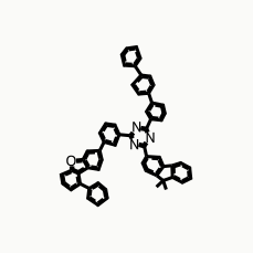 CC1(C)c2ccccc2-c2cc(-c3nc(-c4cccc(-c5ccc(-c6ccccc6)cc5)c4)nc(-c4cccc(-c5ccc6c(c5)oc5cccc(-c7ccccc7)c56)c4)n3)ccc21